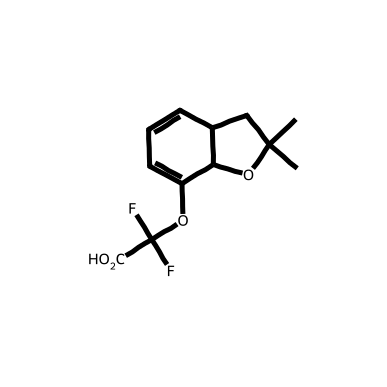 CC1(C)CC2C=CC=C(OC(F)(F)C(=O)O)C2O1